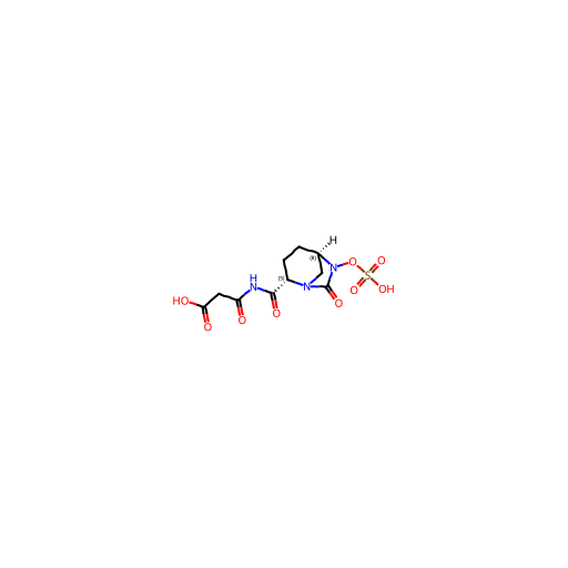 O=C(O)CC(=O)NC(=O)[C@@H]1CC[C@@H]2CN1C(=O)N2OS(=O)(=O)O